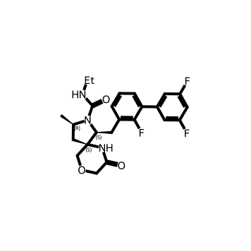 CCNC(=O)N1[C@H](C)C[C@@]2(COCC(=O)N2)[C@@H]1Cc1cccc(-c2cc(F)cc(F)c2)c1F